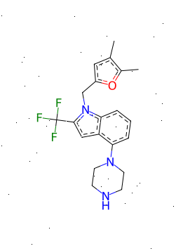 Cc1cc(Cn2c(C(F)(F)F)cc3c(N4CCNCC4)cccc32)oc1C